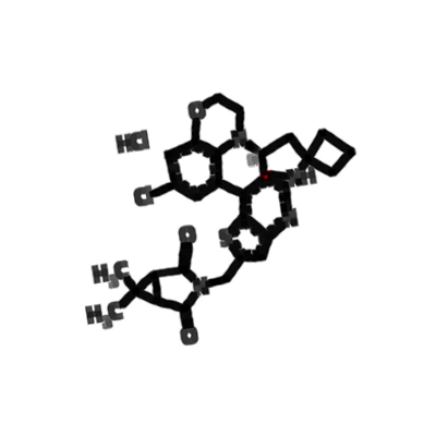 CC1(C)C2C(=O)N(Cc3cc4nccc(-c5cc(Cl)cc6c5N([C@@H]5CNC7(CCC7)C5)CCO6)c4s3)C(=O)C21.Cl